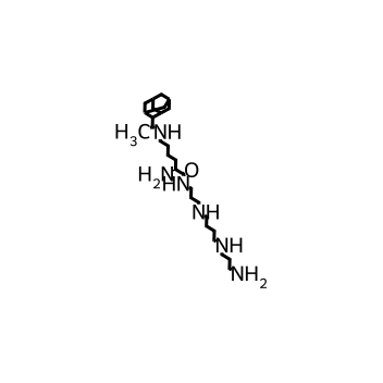 CC(NCCCC[C@@H](N)C(=O)NCCCNCCCCNCCCN)C1C2CC3CC(C2)CC1C3